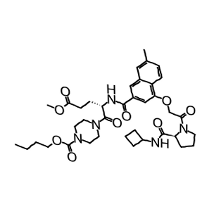 CCCCOC(=O)N1CCN(C(=O)[C@H](CCC(=O)OC)NC(=O)c2cc(OCC(=O)N3CCC[C@H]3C(=O)NC3CCC3)c3ccc(C)cc3c2)CC1